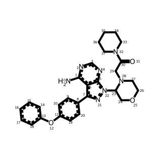 Nc1ncnc2c1c(-c1ccc(Oc3ccccc3)cc1)nn2C1COCCN1CC(=O)N1CCCCC1